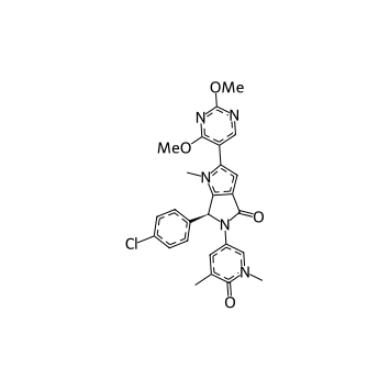 COc1ncc(-c2cc3c(n2C)[C@H](c2ccc(Cl)cc2)N(c2cc(C)c(=O)n(C)c2)C3=O)c(OC)n1